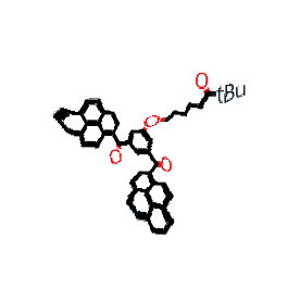 CC(C)(C)C(=O)CCCCCOc1cc(C(=O)c2ccc3ccc4cccc5ccc2c3c45)cc(C(=O)c2ccc3ccc4cccc5ccc2c3c45)c1